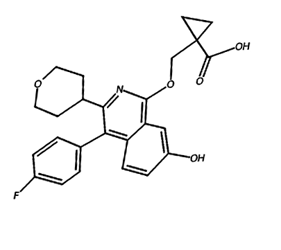 O=C(O)C1(COc2nc(C3CCOCC3)c(-c3ccc(F)cc3)c3ccc(O)cc23)CC1